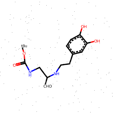 CC(C)(C)OC(=O)NCC(C=O)NCCc1ccc(O)c(O)c1